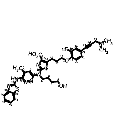 Cc1cc(N(CCCCO)c2nc(C(=O)O)c(CCCOc3ccc(C#CCN(C)C)cc3F)s2)nnc1Nc1nc2ccccc2s1